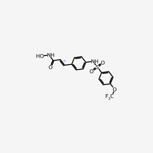 O=C(/C=C/c1ccc(NS(=O)(=O)c2ccc(OC(F)(F)F)cc2)cc1)NO